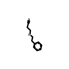 N#CCC[Se]CCc1ccccc1